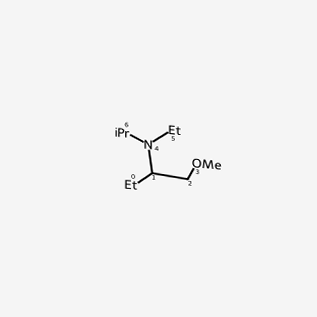 CCC(COC)N(CC)C(C)C